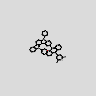 Cc1cc(-c2c3ccccc3c(-c3ccc4c(c3)c3c(ccc5c6ccccc6n(-c6ccccc6)c53)n4-c3ccccc3)c3ccccc23)cc(C)n1